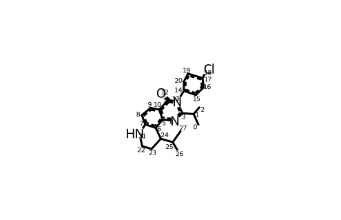 CC(C)c1nc2c3c(ccc2c(=O)n1-c1ccc(Cl)cc1)NCCC3C(C)C